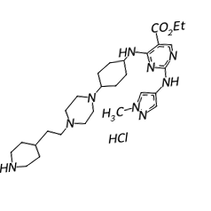 CCOC(=O)c1cnc(Nc2cnn(C)c2)nc1NC1CCC(N2CCN(CCC3CCNCC3)CC2)CC1.Cl